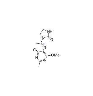 COc1nc(C)nc(Cl)c1/N=C(\C)N1CCNC1=O